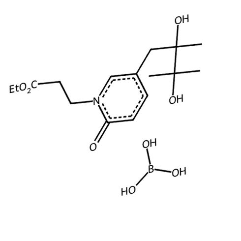 CCOC(=O)CCn1cc(CC(C)(O)C(C)(C)O)ccc1=O.OB(O)O